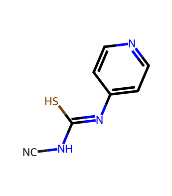 N#CNC(S)=Nc1ccncc1